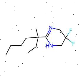 CCCCC(C)(CC)C1=NCC(F)(F)CN1